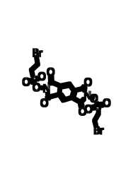 O=c1c2cc3c(=O)n(OS(=O)(=O)CCBr)c(=O)c3cc2c(=O)n1OS(=O)(=O)CCBr